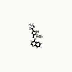 COC(=O)C1CC(COc2ccnc3ccccc23)CN1.Cl.Cl